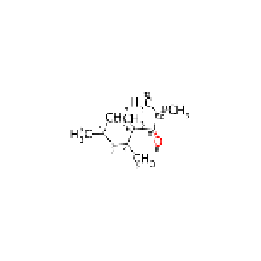 CC(C)CC(C)C(C)C(=O)C(C)C